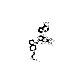 C/N=C\CN1CCC2(CCCN2C[C@H]2O[C@@H](c3ccc4c(SC)ncnn34)[C@@H]3OC(C)(C)O[C@@H]32)CC1